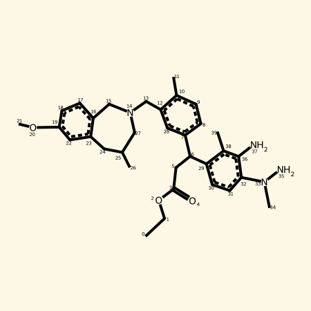 CCOC(=O)CC(c1ccc(C)c(CN2Cc3ccc(OC)cc3CC(C)C2)c1)c1ccc(N(C)N)c(N)c1C